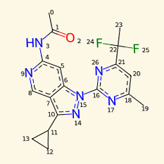 CC(=O)Nc1cc2c(cn1)c(C1CC1)nn2-c1nc(C)cc(C(C)(F)F)n1